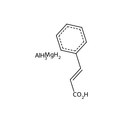 O=C(O)C=Cc1ccccc1.[AlH3].[MgH2]